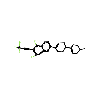 CC1CC=C(C2CC=C(c3ccc4c(F)c(C#CC(F)(F)F)c(F)cc4c3)CC2)CC1